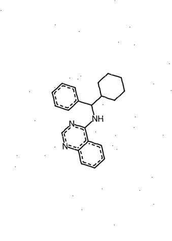 c1ccc(C(Nc2ncnc3ccccc23)C2CCCCC2)cc1